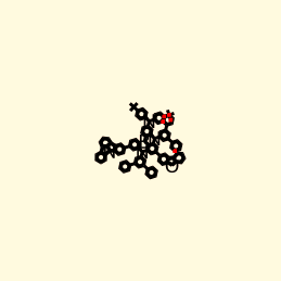 CC(C)(C)c1ccc(N(c2ccc(C(C)(C)C)cc2)c2ccc3c(c2)N(c2cc(-c4ccccc4)cc(-c4ccccc4)c2)c2cc(-c4ccc5oc6ccccc6c5c4)cc4c2B3c2ccc(-c3ccc5c(c3)c3cccc6c7ccccc7n5c63)cc2N4c2cc(-c3ccccc3)cc(-c3ccccc3)c2)cc1